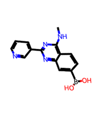 CNc1nc(-c2cccnc2)nc2cc(B(O)O)ccc12